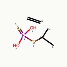 C=C.CC(C)SP(O)(O)=S